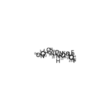 COc1ccc(C2CN([C@@H](C)C(=O)Nc3ccc(Oc4ccc(F)cc4F)cn3)CCO2)cn1